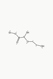 CCOC(=O)C(S)OCCO